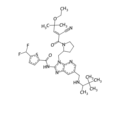 CCOC(C)(C)C=C(C#N)C(=O)N1CCCC1Cn1c(NC(=O)c2ccc(C(F)F)s2)nc2cc(CNC(C)C(C)(C)C)cnc21